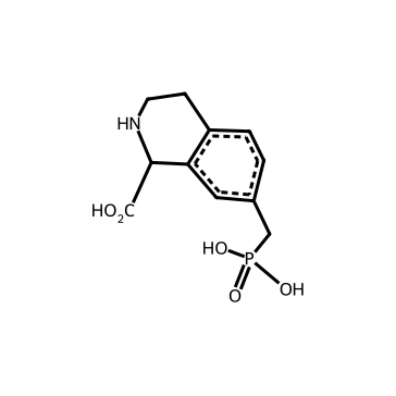 O=C(O)C1NCCc2ccc(CP(=O)(O)O)cc21